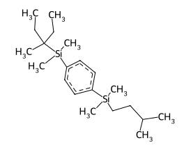 CCC(C)(CC)[Si](C)(C)c1ccc([Si](C)(C)CCC(C)C)cc1